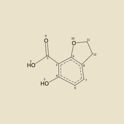 O=C(O)c1c(O)ccc2c1OCC2